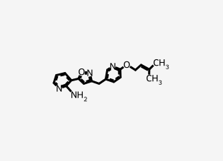 CC(C)=CCOc1ccc(Cc2cc(-c3cccnc3N)on2)cn1